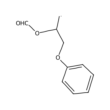 [CH2]C(COc1ccccc1)OC=O